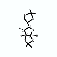 CC1(C)OCC([C@H]2O[C@@H]3OC(C)(C)O[C@@H]3[C@@H]2I)O1